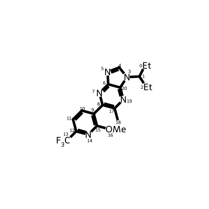 CCC(CC)n1cnc2nc(-c3ccc(C(F)(F)F)nc3OC)c(C)nc21